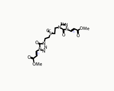 COC(=O)/C=C/n1nnn(CC[S+]([O-])CCn2nnn(/C=C/C(=O)OC)c2=O)c1=O